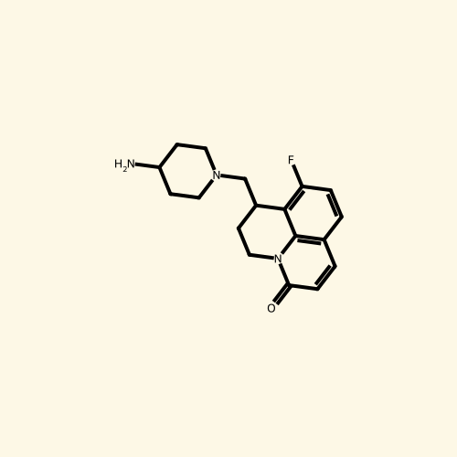 NC1CCN(CC2CCn3c(=O)ccc4ccc(F)c2c43)CC1